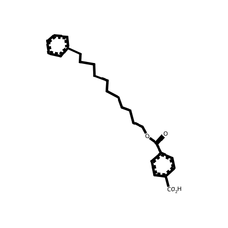 O=C(O)c1ccc(C(=O)OCCCCCCCCCCCc2ccccc2)cc1